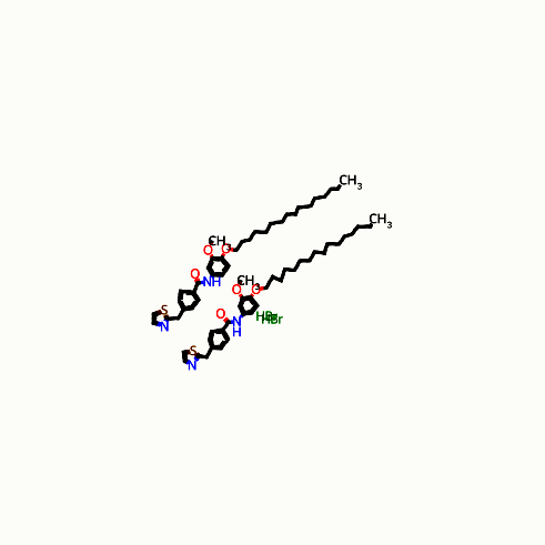 Br.Br.CCCCCCCCCCCCCCCCOc1ccc(NC(=O)c2ccc(Cc3nccs3)cc2)cc1OC.CCCCCCCCCCCCCCCCOc1ccc(NC(=O)c2ccc(Cc3nccs3)cc2)cc1OC